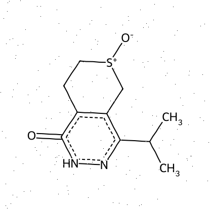 CC(C)c1n[nH]c(=O)c2c1C[S+]([O-])CC2